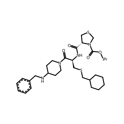 CC(C)OC(=O)N1CSC[C@H]1C(=O)N[C@@H](CSCC1CCCCC1)C(=O)N1CCC(NCc2ccccc2)CC1